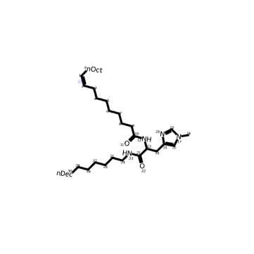 CCCCCCCC/C=C\CCCCCCCC(=O)NC(Cc1cn(C)cn1)C(=O)NCCCCCCCCCCCCCCCC